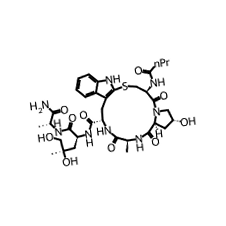 CCCC(=O)N[C@@H]1CSc2[nH]c3ccccc3c2C[C@@H](C(=O)N[C@@H](C[C@@](C)(O)CO)C(=O)N[C@H](C)C(N)=O)NC(=O)[C@H](C)NC(=O)[C@@H]2C[C@@H](O)CN2C1=O